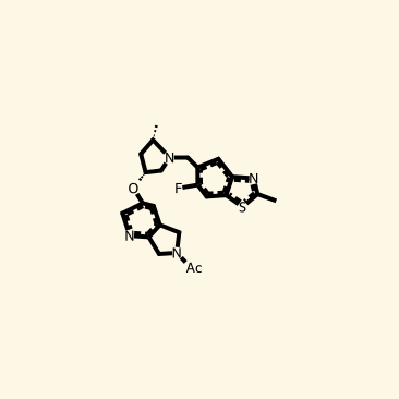 CC(=O)N1Cc2cc(O[C@@H]3C[C@H](C)N(Cc4cc5nc(C)sc5cc4F)C3)cnc2C1